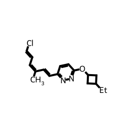 CCC1CC(Oc2ccc(/C=C/C(C)=C\C=C\Cl)nn2)C1